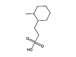 C[C]1CCCCC1CCS(=O)(=O)O